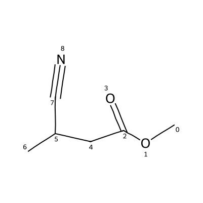 COC(=O)CC(C)C#N